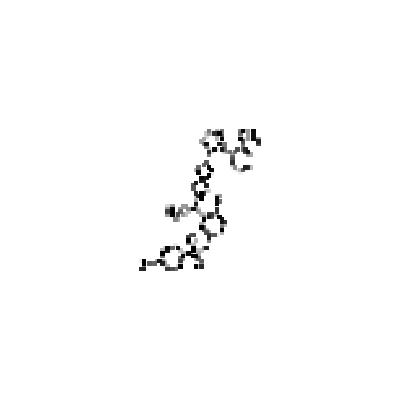 C=C(c1cc(CS(=O)(=O)c2ccc(Br)cc2)ccc1F)N1CC2(CC(c3ccnn3-c3ccccc3C)C2)C1